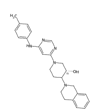 Cc1ccc(Nc2cc(N3CCC(N4CCc5ccccc5C4)[C@@H](O)C3)ncn2)cc1